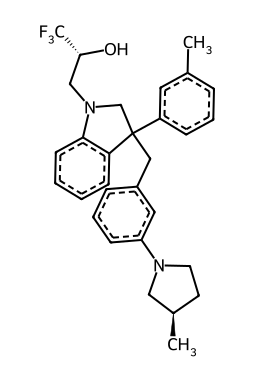 Cc1cccc(C2(Cc3cccc(N4CC[C@@H](C)C4)c3)CN(C[C@@H](O)C(F)(F)F)c3ccccc32)c1